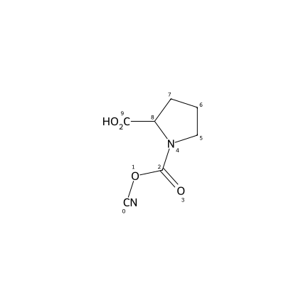 N#COC(=O)N1CCCC1C(=O)O